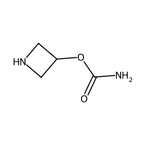 NC(=O)OC1CNC1